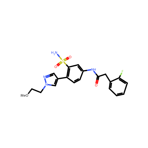 COCCn1cc(-c2ccc(NC(=O)Cc3ccccc3F)cc2S(N)(=O)=O)cn1